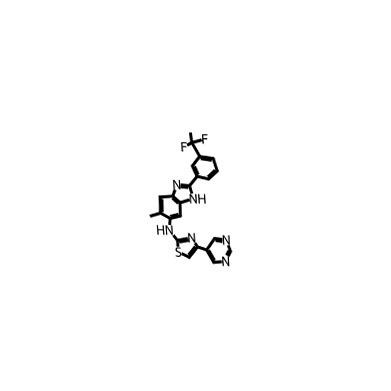 Cc1cc2nc(-c3cccc(C(C)(F)F)c3)[nH]c2cc1Nc1nc(-c2cncnc2)cs1